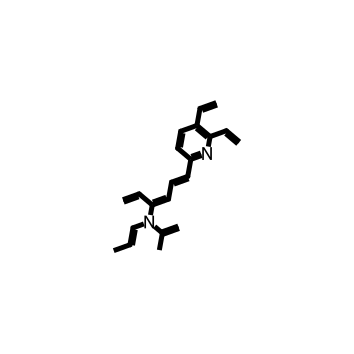 C=C/C(=C\C=C\c1ccc(C=C)c(C=C)n1)N(/C=C/C)C(=C)C